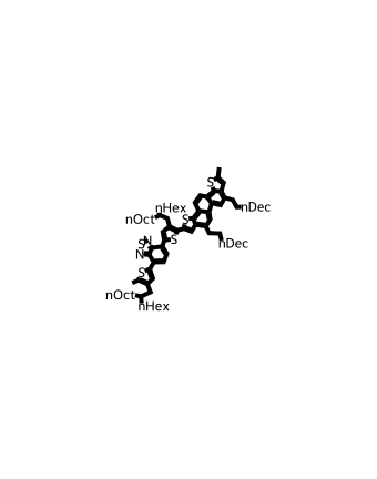 CCCCCCCCCCCCc1cc2c3cc(CCCCCCCCCCCC)c4cc(-c5sc(-c6ccc(-c7cc(CC(CCCCCC)CCCCCCCC)c(C)s7)c7nsnc67)cc5CC(CCCCCC)CCCCCCCC)sc4c3ccc2c2sc(C)cc12